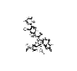 C[C@@]1(c2ccn(C(F)F)n2)C[C@@H](C(=O)Nc2cnc(-c3ncccn3)c(Cl)c2)c2cnc3cc(F)nn3c21